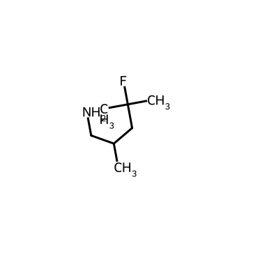 CC(CN)CC(C)(C)F